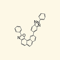 c1ccc(-c2nc3ccc4ccc5ccc(-c6ccc7nn(-c8ccccc8)nc7c6)cc5c4c3o2)cc1